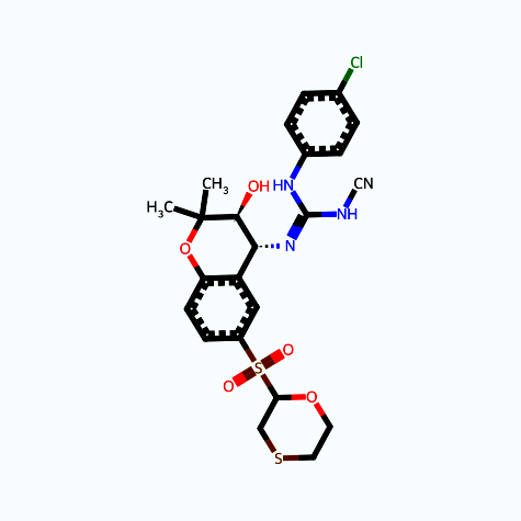 CC1(C)Oc2ccc(S(=O)(=O)C3CSCCO3)cc2[C@@H](N=C(NC#N)Nc2ccc(Cl)cc2)[C@@H]1O